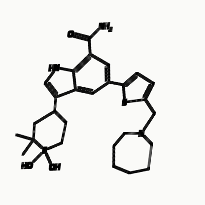 CC1(C)CC(c2c[nH]c3c(C(N)=O)cc(-c4ccc(CN5CCCCCC5)s4)cc23)CCS1(O)O